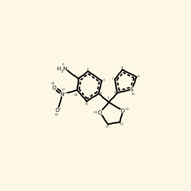 Nc1ccc(C2(c3cccs3)OCCO2)cc1[N+](=O)[O-]